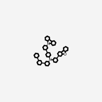 c1ccc(-c2cccc(-c3cccc(N(c4ccc(-c5cccc(-n6c7ccccc7c7ccccc76)c5)cc4)c4cccc(-c5ccc6c(c5)oc5ccccc56)c4)c3)c2)cc1